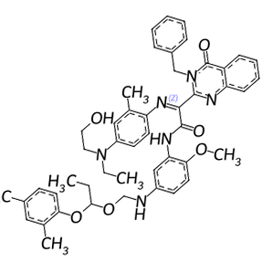 CCC(OCNc1ccc(OC)c(NC(=O)/C(=N\c2ccc(N(CC)CCO)cc2C)c2nc3ccccc3c(=O)n2Cc2ccccc2)c1)Oc1ccc(C)cc1C